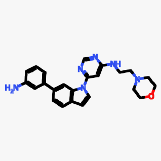 Nc1cccc(-c2ccc3ccn(-c4cc(NCCN5CCOCC5)ncn4)c3c2)c1